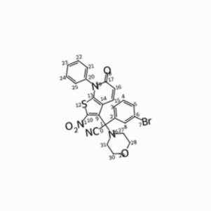 N#CC(c1cccc(Br)c1)(c1c([N+](=O)[O-])sc2c1ccc(=O)n2-c1ccccc1)N1CCOCC1